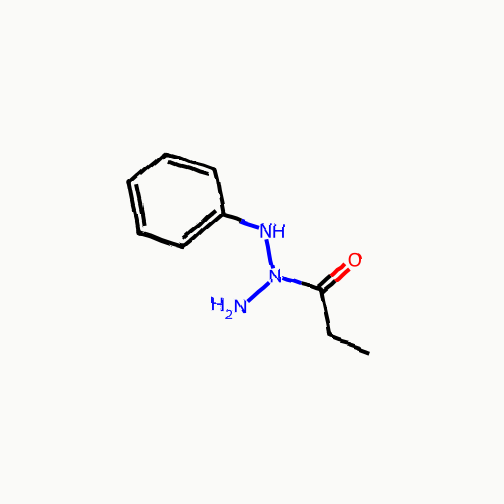 CCC(=O)N(N)Nc1ccccc1